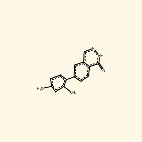 Cc1ccc(-c2ccc3c(=O)[nH]ncc3c2)c(C)c1